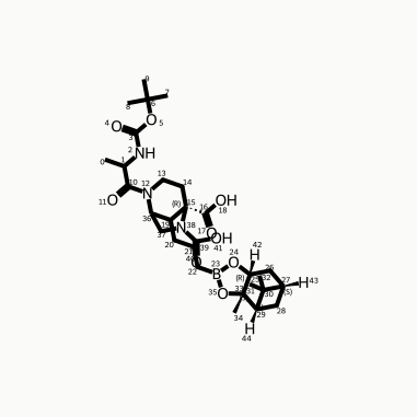 CC(NC(=O)OC(C)(C)C)C(=O)N1CC[C@]2(C(=O)O)C(CCCB3O[C@@H]4C[C@@H]5C[C@@H](C5(C)C)[C@]4(C)O3)C1CN2C(=O)O